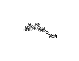 CC[C@@]1(O)C(=O)OCc2c1cc1n(c2=O)Cc2c-1nc1ccc(OC(=O)NCCNCc3ccc(/C=C/C(=O)NO)cc3)cc1c2CN1CCN(C)CC1